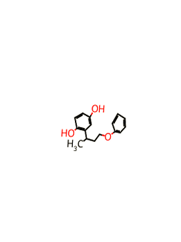 CC(CCOc1ccccc1)c1cc(O)ccc1O